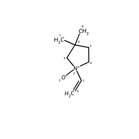 C=C[N+]1([O-])CCC(C)(C)C1